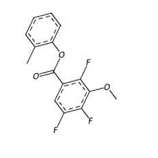 COc1c(F)c(F)cc(C(=O)Oc2ccccc2C)c1F